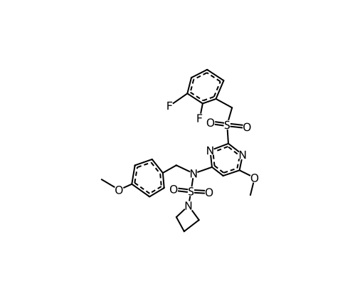 COc1ccc(CN(c2cc(OC)nc(S(=O)(=O)Cc3cccc(F)c3F)n2)S(=O)(=O)N2CCC2)cc1